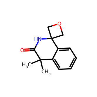 CC1(C)C(=O)NC2(COC2)c2ccccc21